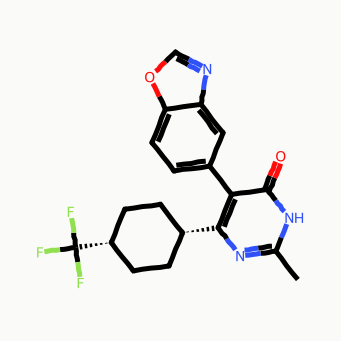 Cc1nc([C@H]2CC[C@@H](C(F)(F)F)CC2)c(-c2ccc3ocnc3c2)c(=O)[nH]1